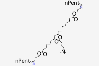 CCCCC/C=C\CCOC(=O)CCCCCCCC(CCCCCCCC(=O)OCC/C=C\CCCCC)OC(=O)CCCN(C)C